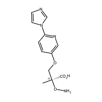 C[C@@](COc1ccc(-n2ccnc2)nc1)(ON)C(=O)O